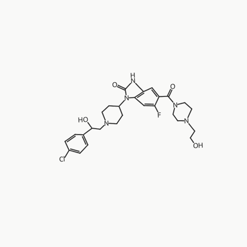 O=C(c1cc2[nH]c(=O)n(C3CCN(CC(O)c4ccc(Cl)cc4)CC3)c2cc1F)N1CCN(CCO)CC1